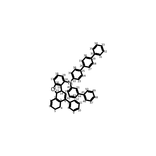 C1=CC2=C(CC1)C(c1ccccc1)=CC1c3c(cccc3N(c3ccc(-c4ccc(-c5ccccc5)cc4)cc3)c3cccc(-c4ccccc4)c3)OC21